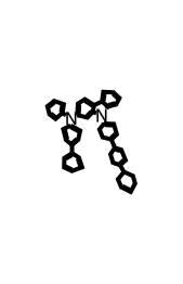 C1=CCC(C2=CC=C(C3=CC=C(n4c5ccccc5c5ccc(N(c6ccccc6)c6ccc(-c7ccccc7)cc6)cc54)CC3)CC2)CC1